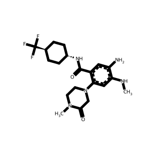 CNc1cc(N2CCN(C)C(=O)C2)c(C(=O)N[C@H]2CC[C@H](C(F)(F)F)CC2)cc1N